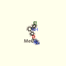 COC(COc1ccc(C2CCCCc3c2[nH]c2ccc(Cl)cc32)cc1)Cn1cncn1